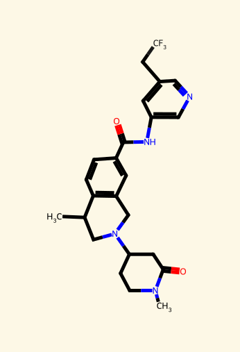 CC1CN(C2CCN(C)C(=O)C2)Cc2cc(C(=O)Nc3cncc(CC(F)(F)F)c3)ccc21